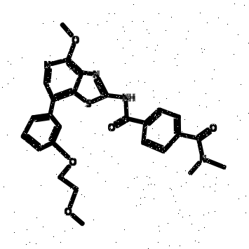 COCCOc1cccc(-c2cnc(OC)c3nc(NC(=O)c4ccc(C(=O)N(C)C)cc4)sc23)c1